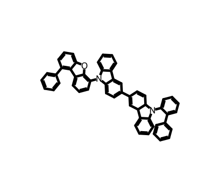 C1=CC2C(C=C1c1ccc3c(c1)c1ccccc1n3-c1cccc3c1oc1cccc(-c4ccccc4)c13)c1ccccc1N2c1ccccc1-c1ccccc1